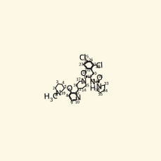 CN1CCC[C@H](Oc2cccnc2C2CCN(C(=O)[C@@H](Cc3ccc(Cl)cc3Cl)NC(=O)N3CCCC3)CC2)C1